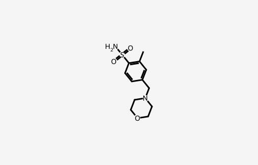 Cc1cc(CN2CCOCC2)ccc1S(N)(=O)=O